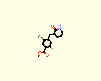 COC(=O)c1cc(Cl)c(Cc2ccc[nH]c2=O)cc1F